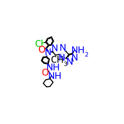 CC(/C=N/c1ncnc(N)c1C#N)c1nc2cccc(Cl)c2c(=O)n1-c1cccc(NC(=O)NC2CCCCC2)c1